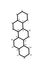 C1CCC2C(C1)CCC1C2CCC2C3CCCCC3CCC21